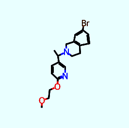 COCCOc1ccc(C(C)N2CCc3ccc(Br)cc3C2)cn1